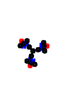 O=c1c2ccccc2nc2n(-c3ccc(-c4cc(-c5ccc(-n6c7ccccc7n7c(=O)c8ccccc8nc67)cc5)cc(-c5ccc(-n6c7ccccc7n7c(=O)c8ccccc8nc67)cc5)c4)cc3)c3ccccc3n12